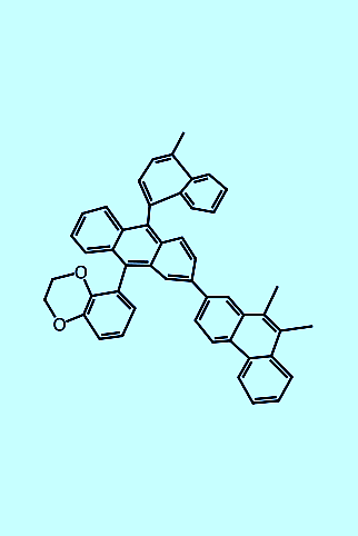 Cc1ccc(-c2c3ccccc3c(-c3cccc4c3OCCO4)c3cc(-c4ccc5c(c4)c(C)c(C)c4ccccc45)ccc23)c2ccccc12